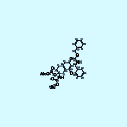 COC(=O)O[C@]1(NC(=O)OC(C)(C)C)CCc2cccc(Oc3ccccc3CNC(=O)OCc3ccccc3)c2C1